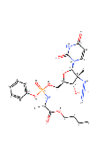 CCCCOC(=O)[C@H](C)NP(=O)(OC[C@H]1O[C@@H](n2ccc(=O)[nH]c2=O)[C@](C)(N=[N+]=[N-])[C@@H]1O)Oc1ccccc1